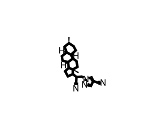 C[C@H]1CC[C@@H]2C3CC[C@]4(C)C(C(C#N)Cn5cc(C#N)cn5)CCC4[C@@H]3CC[C@@H]2C1